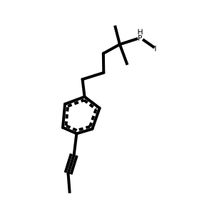 CC#Cc1ccc(CCCC(C)(C)PI)cc1